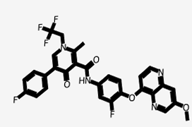 COc1cnc2c(Oc3ccc(NC(=O)c4c(C)n(CC(F)(F)F)cc(-c5ccc(F)cc5)c4=O)cc3F)ccnc2c1